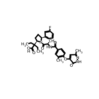 CCC(CC)(C(=O)O)[C@H]1CC[C@@H](c2cccc(F)c2)N1C(=O)[C@@H](C)NC(=O)c1ccc(Oc2cc(C)n[nH]c2=O)c(C)c1